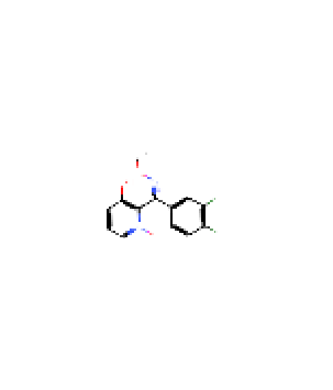 CC(C)(C)O/N=C(/c1ccc(Cl)c(Cl)c1)c1c(O)ccc[n+]1[O-]